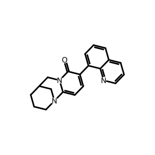 O=c1c(-c2cccc3cccnc23)ccc2n1CC1CCCN2C1